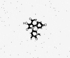 CC(=O)C1=C(O)C(=O)N(c2cc(C)c(=O)n(C)c2)C1c1ccc(Cl)cc1F